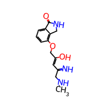 CNCC(=N)/C=C(\O)COc1cccc2c1CNC2=O